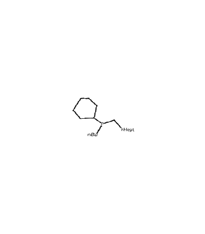 CCCCCCCCP(CCCC)C1CCCCC1